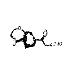 O=CCC(=O)c1ccc2c(c1)OCCO2